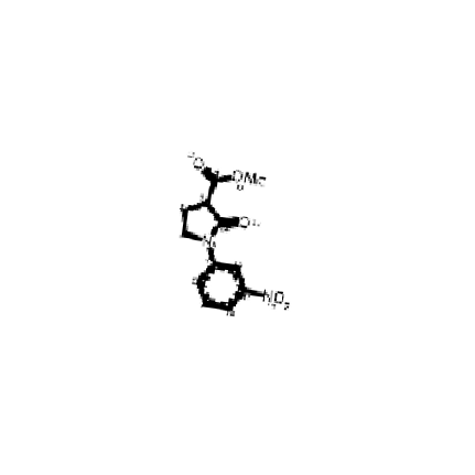 COC(=O)C1CCN(c2cccc([N+](=O)[O-])c2)C1=O